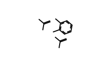 C=C(C)C.C=C(C)C.Cc1ccccc1C